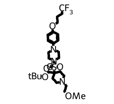 COCCN1CCC(C(=O)OC(C)(C)C)(S(=O)(=O)N2CCN(c3ccc(OCCCC(F)(F)F)cc3)CC2)CC1